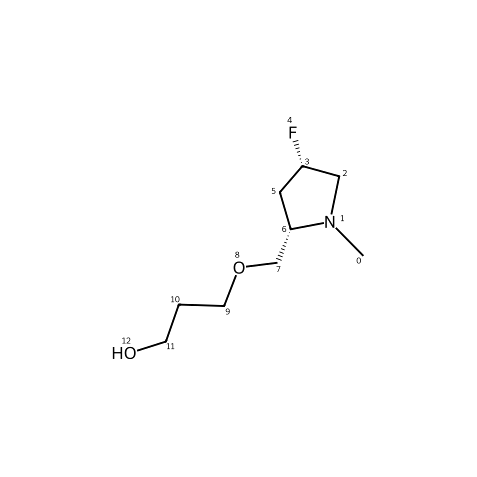 CN1C[C@@H](F)C[C@H]1COCCCO